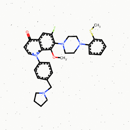 COc1c(N2CCN(c3ccccc3SC)CC2)c(F)cc2c(=O)ccn(-c3ccc(CN4CCCC4)cc3)c12